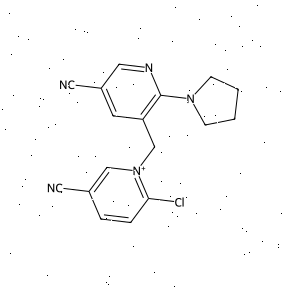 N#Cc1cnc(N2CCCC2)c(C[n+]2cc(C#N)ccc2Cl)c1